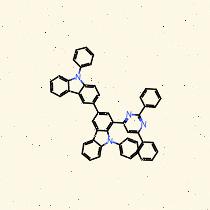 c1ccc(-c2cc(-c3cc(-c4ccc5c(c4)c4ccccc4n5-c4ccccc4)cc4c5ccccc5n(-c5ccccc5)c34)nc(-c3ccccc3)n2)cc1